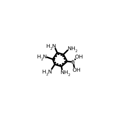 Nc1c(N)c(N)c(B(O)O)c(N)c1N